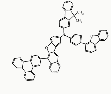 CC1(C)c2ccccc2-c2ccc(N(c3ccc(-c4cccc5c4oc4ccccc45)cc3)c3ccc4oc5c(-c6ccc7c8ccccc8c8ccccc8c7c6)c6ccccc6cc5c4c3)cc21